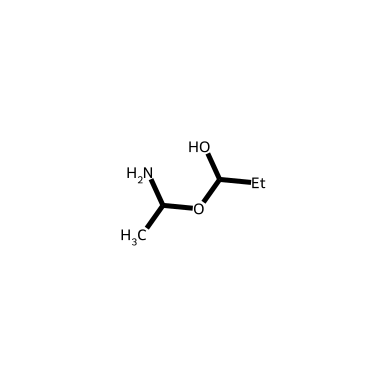 CCC(O)OC(C)N